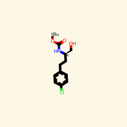 CC(C)(C)OC(=O)N[C@@H](CO)CCc1ccc(Cl)cc1